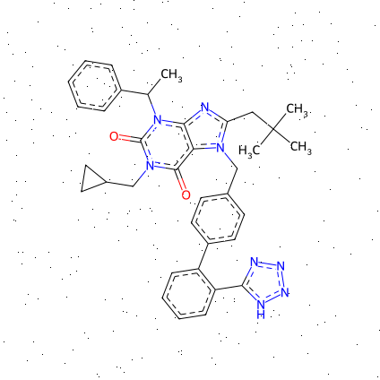 CC(c1ccccc1)n1c(=O)n(CC2CC2)c(=O)c2c1nc(CC(C)(C)C)n2Cc1ccc(-c2ccccc2-c2nnn[nH]2)cc1